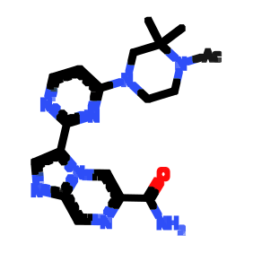 CC(=O)N1CCN(c2ccnc(-c3cnc4cnc(C(N)=O)cn34)n2)CC1(C)C